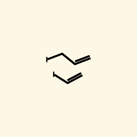 C=CCI.C=CI